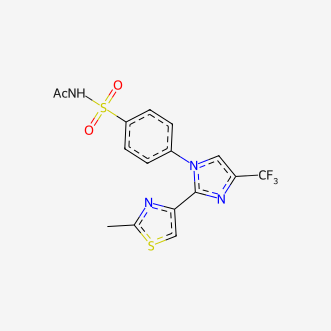 CC(=O)NS(=O)(=O)c1ccc(-n2cc(C(F)(F)F)nc2-c2csc(C)n2)cc1